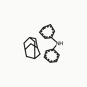 C1C2CC3CC1CC(C2)C3.c1ccc(Nc2ccccc2)cc1